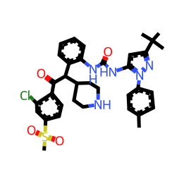 Cc1ccc(-n2nc(C(C)(C)C)cc2NC(=O)Nc2ccccc2C(C(=O)c2ccc(S(C)(=O)=O)cc2Cl)C2CCNCC2)cc1